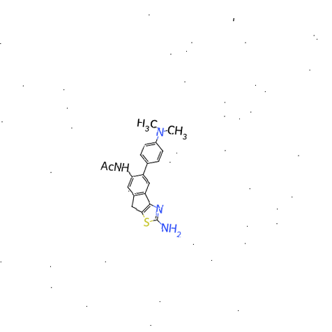 CC(=O)Nc1cc2c(cc1-c1ccc(N(C)C)cc1)-c1nc(N)sc1C2